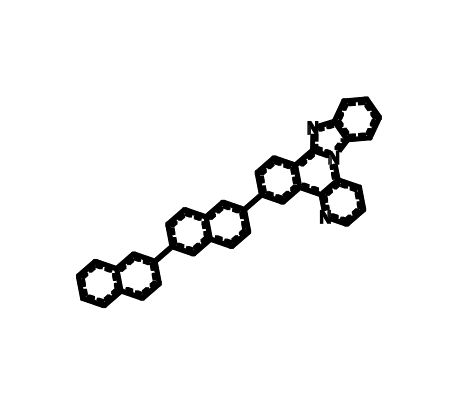 c1ccc2cc(-c3ccc4cc(-c5ccc6c(c5)c5ncccc5n5c7ccccc7nc65)ccc4c3)ccc2c1